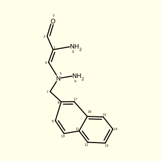 N/C(C=O)=C\N(N)Cc1ccc2ccccc2c1